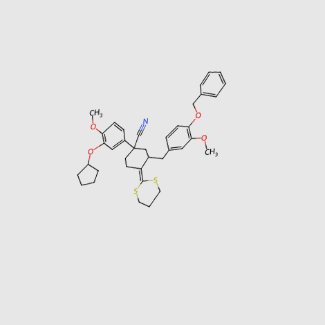 COc1cc(CC2CC(C#N)(c3ccc(OC)c(OC4CCCC4)c3)CCC2=C2SCCCS2)ccc1OCc1ccccc1